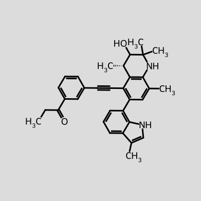 CCC(=O)c1cccc(C#Cc2c(-c3cccc4c(C)c[nH]c34)cc(C)c3c2[C@H](C)C(O)C(C)(C)N3)c1